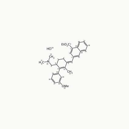 CCOC(=O)c1cc(/C=C2\CCC(CN(C)C)C(c3cccc(OC)c3)=C2C)cc2ccccc12.Cl